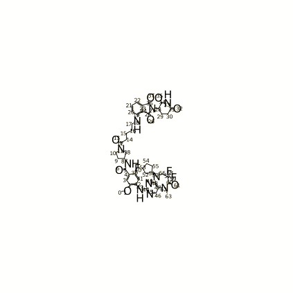 COc1cc(C(=O)NC2CCN(C(=O)CCCCNc3cccc4c3C(=O)N(C3CCC(=O)NC3=O)C4=O)C2)c(F)cc1Nc1ncc2c(n1)N(C1CCCC1)CC(F)(F)C(=O)N2C